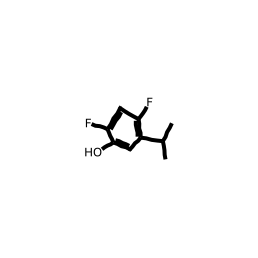 CC(C)c1cc(O)c(F)cc1F